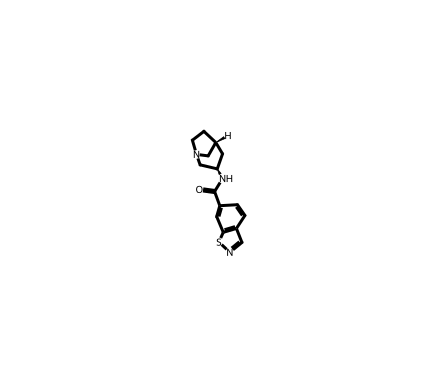 O=C(N[C@@H]1C[C@H]2CCN(C2)C1)c1ccc2cnsc2c1